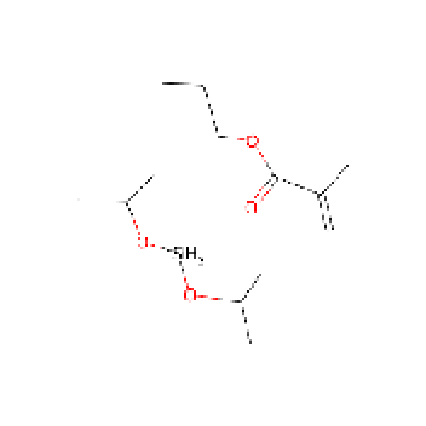 C=C(C)C(=O)OCCC.CC(C)O[SiH2]OC(C)C